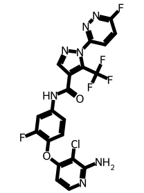 Nc1nccc(Oc2ccc(NC(=O)c3cnn(-c4ccc(F)nn4)c3C(F)(F)F)cc2F)c1Cl